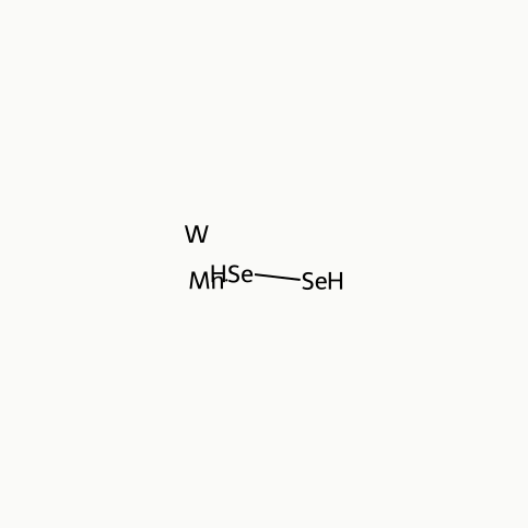 [Mn].[SeH][SeH].[W]